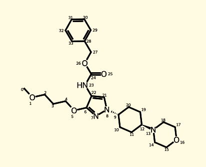 COCCCOc1nn([C@H]2CC[C@H](N3CCOCC3)CC2)cc1NC(=O)OCc1ccccc1